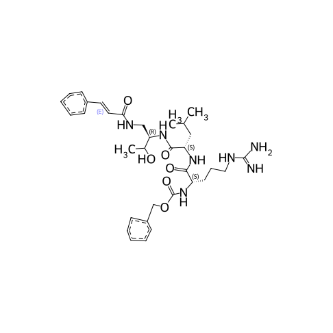 CC(C)C[C@H](NC(=O)[C@H](CCCNC(=N)N)NC(=O)OCc1ccccc1)C(=O)N[C@H](CNC(=O)/C=C/c1ccccc1)C(C)O